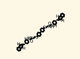 O=C(NCCOC1CCC(C2CCC(OCCNC(=O)N[C@H]3CC[C@H](CCN4[C@@H]5CC[C@H]4c4ccccc45)CC3)CC2)CC1)N[C@H]1CC[C@H](CCN2[C@@H]3CC[C@H]2c2ccccc23)CC1